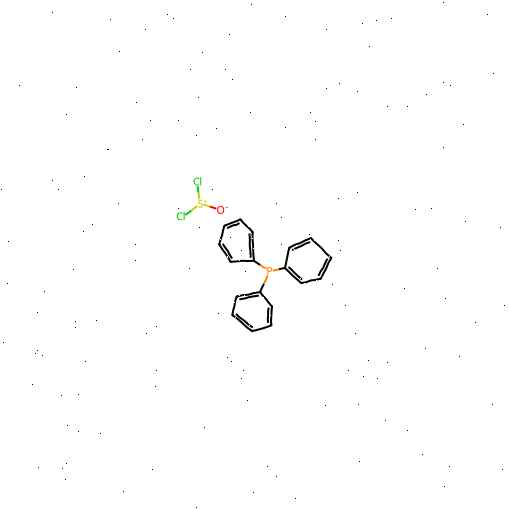 [O-][S+](Cl)Cl.c1ccc(P(c2ccccc2)c2ccccc2)cc1